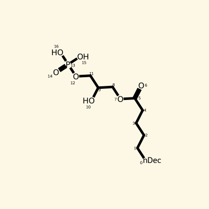 CCCCCCCCCCCCCCC(=O)OCC(O)COP(=O)(O)O